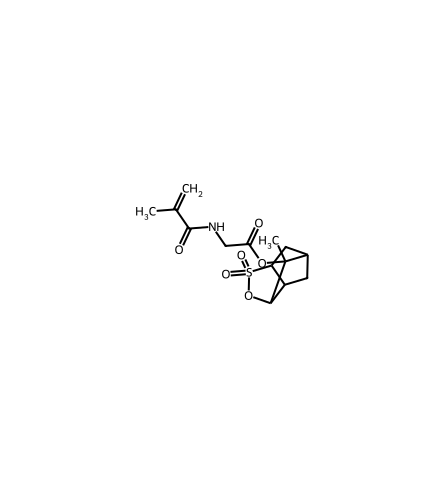 C=C(C)C(=O)NCC(=O)OC1(C)C2CC3C1OS(=O)(=O)C3C2